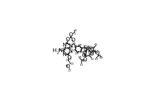 CCOC(=O)Oc1nc2c(N)nc(OCCOC)nc2n1Cc1cccc(CP(=O)(NC(C)C(=O)OC(C)C)NC(C)C(=O)OC(C)C)c1